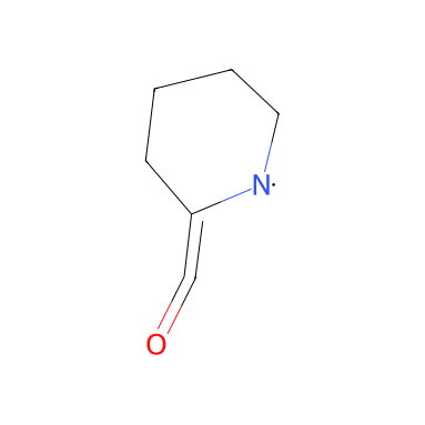 O=C=C1CCCC[N]1